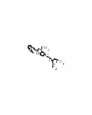 C=C(/C=C\C)OCCOc1ccc2c(c1)C(=C)C=C(c1cc3cccn3cn1)O2